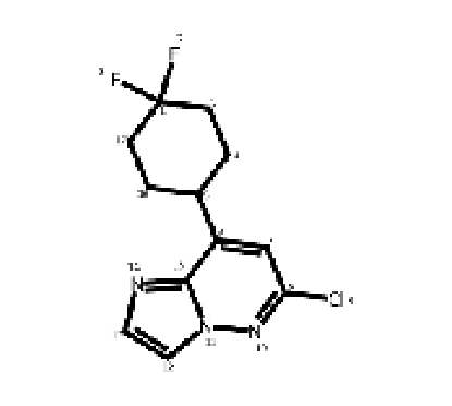 FC1(F)CCC(c2cc(Cl)nn3ccnc23)CC1